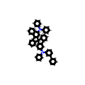 c1ccc(-c2cccc(N(c3ccccc3)c3ccc4c(c3)-c3ccccc3C43c4ccccc4-c4c3cc(N(c3ccccc3)c3ccccc3)c3ccccc43)c2)cc1